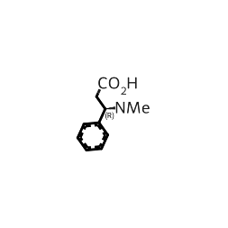 CN[C@H](CC(=O)O)c1ccccc1